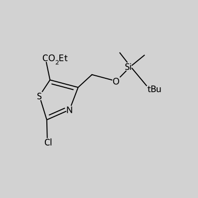 CCOC(=O)c1sc(Cl)nc1CO[Si](C)(C)C(C)(C)C